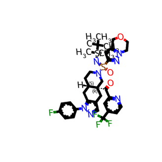 CC(C)(C)[Si](C)(C)N=S(=O)(c1cc2n(n1)CCOC2)N1CC[C@H]2Cc3c(cnn3-c3ccc(F)cc3)C[C@]2(C(=O)c2cc(C(F)(F)F)ccn2)C1